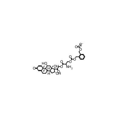 C[C@]12C=CC(=O)C=C1CC[C@H]1[C@@H]3C[C@@H](O)[C@](O)(C(=O)COC(=O)C(N)COC(=O)OCc4ccccc4CO[N+](=O)[O-])[C@@]3(C)C[C@H](O)[C@@]12F